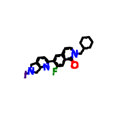 O=c1c2cc(F)c(-c3ccc4c(n3)CN(I)C4)cc2ccn1CC1CCCCC1